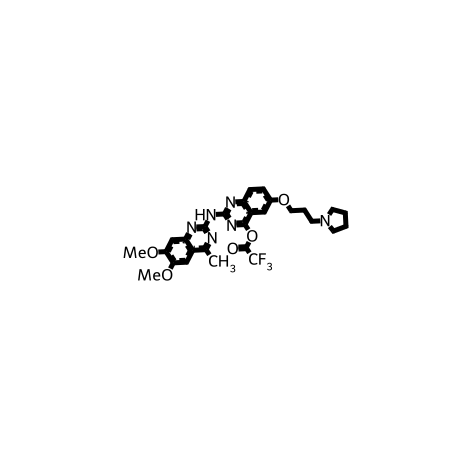 COc1cc2nc(Nc3nc(OC(=O)C(F)(F)F)c4cc(OCCCN5CCCC5)ccc4n3)nc(C)c2cc1OC